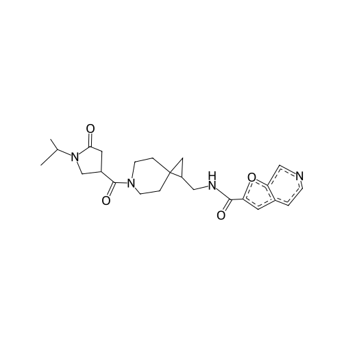 CC(C)N1CC(C(=O)N2CCC3(CC2)CC3CNC(=O)c2cc3ccncc3o2)CC1=O